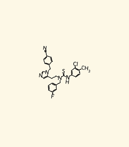 Cc1ccc(NC(=S)N(CCc2cncn2Cc2ccc(C#N)cc2)Cc2cccc(F)c2)cc1Cl